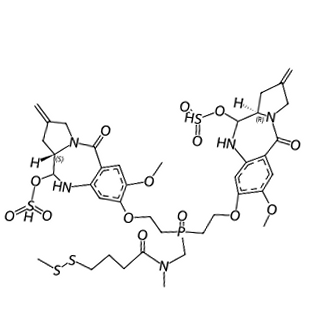 C=C1C[C@@H]2C(O[SH](=O)=O)Nc3cc(OCCP(=O)(CCOc4cc5c(cc4OC)C(=O)N4CC(=C)C[C@H]4C(O[SH](=O)=O)N5)CN(C)C(=O)CCCSSC)c(OC)cc3C(=O)N2C1